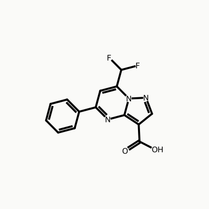 O=C(O)c1cnn2c(C(F)F)cc(-c3ccccc3)nc12